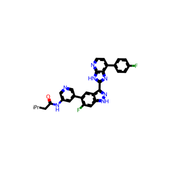 CC(C)CC(=O)Nc1cncc(-c2cc3c(-c4nc5c(-c6ccc(F)cc6)ccnc5[nH]4)n[nH]c3cc2F)c1